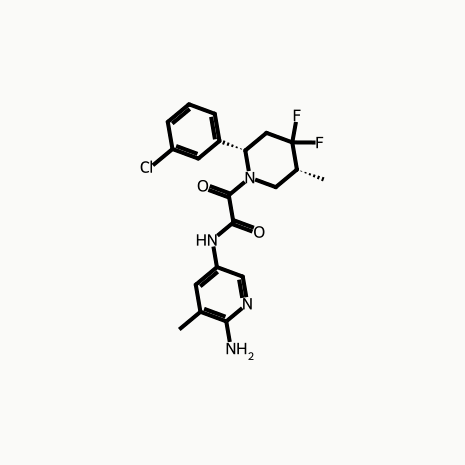 Cc1cc(NC(=O)C(=O)N2C[C@@H](C)C(F)(F)C[C@H]2c2cccc(Cl)c2)cnc1N